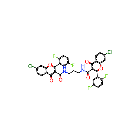 O=C(NCCCNC(=O)c1c(-c2cc(F)ccc2F)oc2cc(Cl)ccc2c1=O)c1c(-c2cc(F)ccc2F)oc2cc(Cl)ccc2c1=O